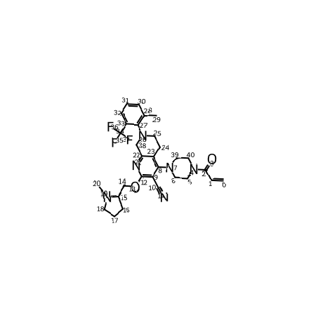 C=CC(=O)N1CCN(c2c(C#N)c(OCC3CCCN3C)nc3c2CCN(c2c(C)cccc2C(F)(F)F)C3)CC1